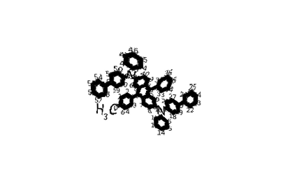 Cc1ccc(-c2c3ccc(N(c4ccccc4)c4ccc(-c5ccccc5)cc4)cc3c(-c3ccccc3)c3ccc(N(c4ccccc4)c4ccc(-c5ccccc5)cc4)cc23)cc1